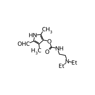 CCN(CC)CCNC(=O)Oc1c(C)[nH]c(C=O)c1C